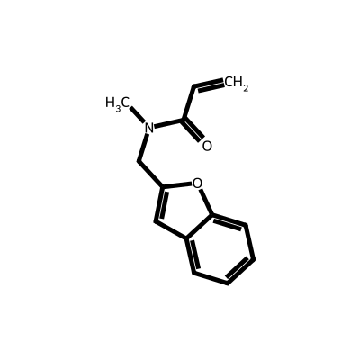 C=CC(=O)N(C)Cc1cc2ccccc2o1